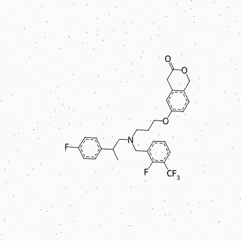 CC(CN(CCCOc1ccc2c(c1)CC(=O)OC2)Cc1cccc(C(F)(F)F)c1F)c1ccc(F)cc1